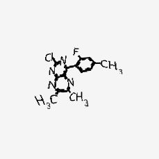 Cc1ccc(-c2nc(Cl)nc3nc(C)c(C)nc23)c(F)c1